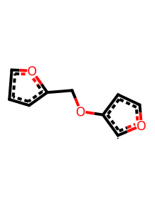 [c]1occc1OCc1ccco1